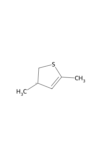 C[C]1C=C(C)SC1